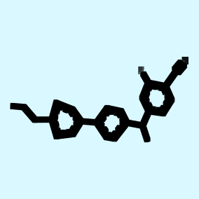 CCCc1ccc(-c2ccc(C(C)c3ccc(C#N)c(F)c3)cc2)cc1